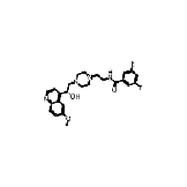 COc1ccc2nccc([C@@H](O)CN3CCN(CCNC(=O)c4cc(F)cc(F)c4)CC3)c2c1